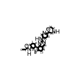 C=CC(=O)Nc1cccc(-c2c(F)ccc3cnc(Nc4ccc(C5CNCCO5)nc4)nc23)c1